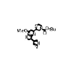 COc1cc(C2CN(C(=O)OC(C)(C)C)CCS2)nc2c(-c3cnn(C)c3)cnn12